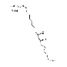 CCCCC/C=C\C/C=C\CCCCCCCC(=O)OC(=O)CCCCCCCCCCCCCCC